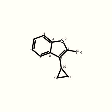 Fc1sc2cc[c]cc2c1C1CC1